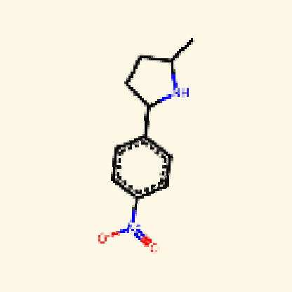 CC1CCC(c2ccc([N+](=O)[O-])cc2)N1